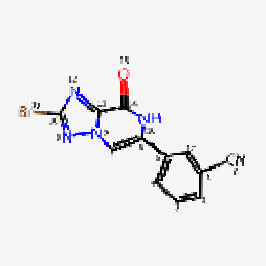 N#Cc1cccc(-c2cn3nc(Br)nc3c(=O)[nH]2)c1